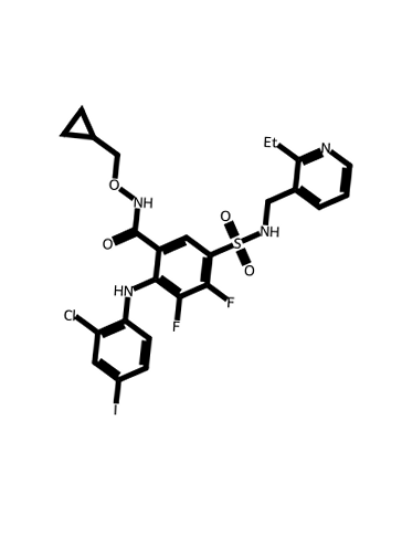 CCc1ncccc1CNS(=O)(=O)c1cc(C(=O)NOCC2CC2)c(Nc2ccc(I)cc2Cl)c(F)c1F